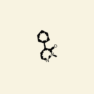 Cn1nccc(-c2ccccc2)c1=O